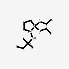 CCO[Si]1(OCC)CCCN1[SiH2]C(C)(C)CC